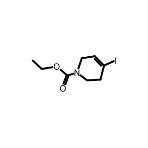 CCOC(=O)N1CC=C(I)CC1